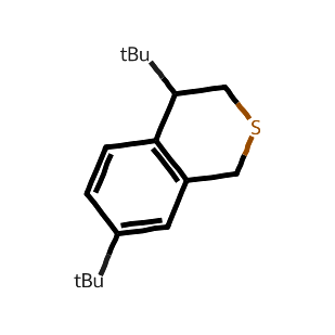 CC(C)(C)c1ccc2c(c1)CSCC2C(C)(C)C